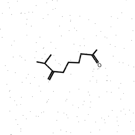 C=C(CCCCC(C)=O)C(C)C